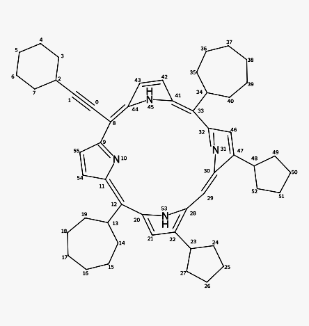 C(#CC1CCCCC1)c1c2nc(c(C3CCCCCC3)c3cc(C4CCCC4)c(cc4nc(c(C5CCCCCC5)c5ccc1[nH]5)C=C4C1CCCC1)[nH]3)C=C2